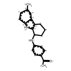 CC(=O)c1ccc(NC2CCCc3c2[nH]c2ccc(C)cc32)cc1